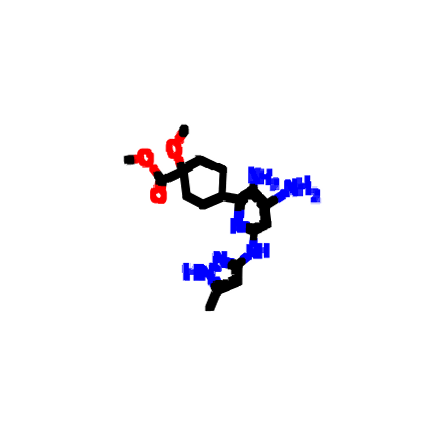 COC(=O)C1(OC)CCC(c2nc(Nc3cc(C)[nH]n3)cc(N)c2N)CC1